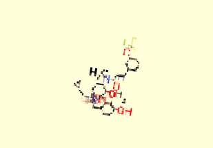 CN(C(=O)/C=C/c1cccc(OC(F)(F)F)c1)C1CC[C@@]2(O)[C@H]3Cc4ccc(O)c5c4[C@@]2(CCN3CC2CC2)C1(C)O5